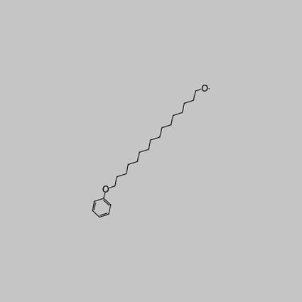 [O]CCCCCCCCCCCCCCCCOc1ccccc1